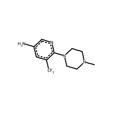 CN1CCN(c2ncc(N)cc2C(F)(F)F)CC1